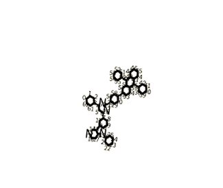 c1ccc(-c2cc(-c3ccc4c(c3)c3cnccc3n4-c3ccccc3)nc(-c3ccc(-c4ccc5c(-c6ccccc6)c6ccccc6c(-c6ccccc6)c5c4)cc3)n2)cc1